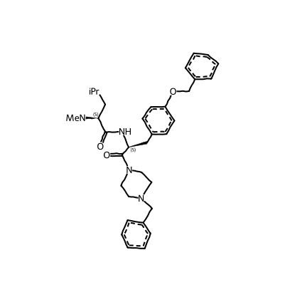 CN[C@@H](CC(C)C)C(=O)N[C@@H](Cc1ccc(OCc2ccccc2)cc1)C(=O)N1CCN(Cc2ccccc2)CC1